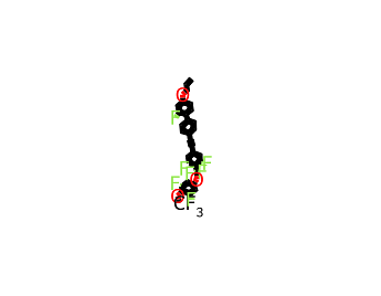 C=CCOc1ccc(-c2ccc(C#Cc3cc(F)c(C(F)(F)Oc4cc(F)c(OC(F)(F)F)c(F)c4)c(F)c3)cc2)c(F)c1